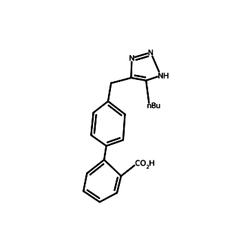 CCCCc1[nH]nnc1Cc1ccc(-c2ccccc2C(=O)O)cc1